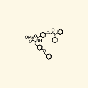 COC(=O)C(Cc1ccc(OCc2ccccc2)cc1)NC(=O)c1ccc(OCC(=O)N(c2ccccc2)C2CCCCC2)cc1